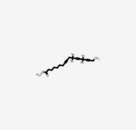 [2H]C([2H])(C#CCC)C#CC([2H])([2H])CC#CCCCCCCC(=O)OC